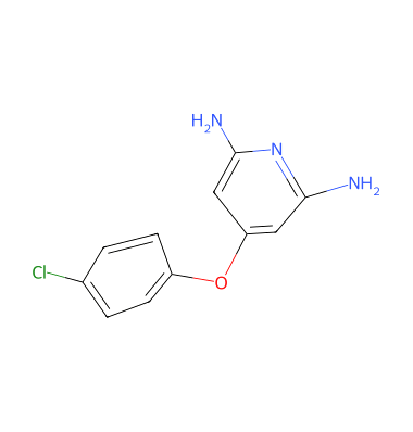 Nc1cc(Oc2ccc(Cl)cc2)cc(N)n1